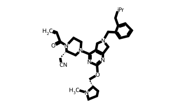 C=CC(=O)N1CCN(c2nc(OC[C@@H]3CCCN3C)nc3c2CN(Cc2ccccc2CC(C)C)C3)C[C@@H]1CC#N